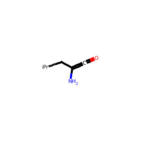 CC(C)[CH]C(N)=C=O